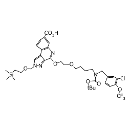 CC(C)(C)OC(=O)N(CCCCOCCOc1nc2cc(C(=O)O)ccc2c2cn(COCC[Si](C)(C)C)nc12)Cc1ccc(OC(F)(F)F)c(Cl)c1